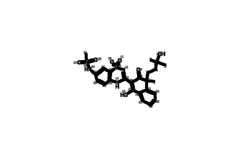 CC(C)(O)CCC1(C)C(=O)C(C2=NS(=O)(=O)c3cc(NS(C)(=O)=O)ccc3N2)=C(O)c2ccccc21